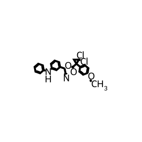 CCOc1ccc(C2(C(=O)OC(C#N)c3cccc(Nc4ccccc4)c3)CC2(Cl)Cl)cc1